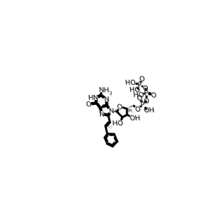 Nc1nc2c(nc(/C=C/c3ccccc3)n2[C@@H]2O[C@H](COP(=O)(O)OP(=O)(O)OP(=O)(O)O)C(O)C2O)c(=O)[nH]1